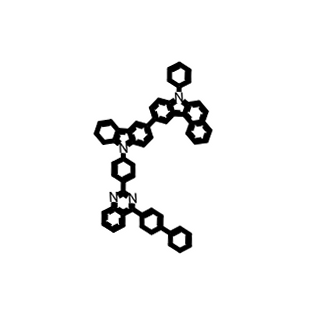 C1=CCCC(C2=CC=C(c3nc(C4=CCC(n5c6c(c7cc(-c8ccc9c(c8)c8c%10ccccc%10ccc8n9C8C=CC=CC8)ccc75)C=CCC6)C=C4)nc4ccccc34)CC2)=C1